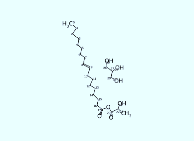 CCCCCCCCC=CCCCCCCCC(=O)OC(=O)C(C)O.OCC(O)CO